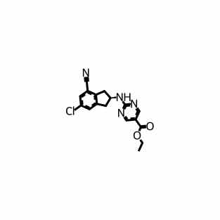 CCOC(=O)c1cnc(N[C@H]2Cc3cc(Cl)cc(C#N)c3C2)nc1